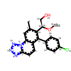 Cc1cc2c(ccc3nnnn32)c(-c2ccc(Cl)cc2)c1[C@@H](CO)OC(C)(C)C